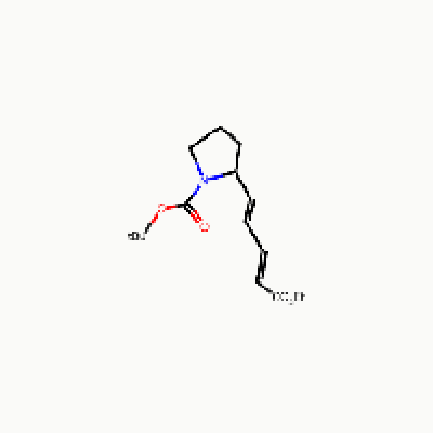 CCOC(=O)/C=C/C=C/C1CCCN1C(=O)OC(C)(C)C